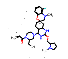 C=CC(=O)N1CCN(C2NC(OCC3CCCN3C)NC3C[C@]4(CCC32)CN(C)c2c(F)cccc2O4)CC1CC#N